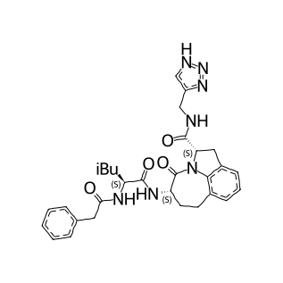 CCC(C)[C@H](NC(=O)Cc1ccccc1)C(=O)N[C@H]1CCc2cccc3c2N(C1=O)[C@H](C(=O)NCc1c[nH]nn1)C3